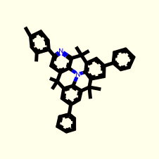 Cc1ccc(-c2cc3c4c(n2)C(C)(C)c2cc(-c5ccccc5)cc5c2N4c2c(cc(-c4ccccc4)cc2C3(C)C)C5(C)C)c(C)c1